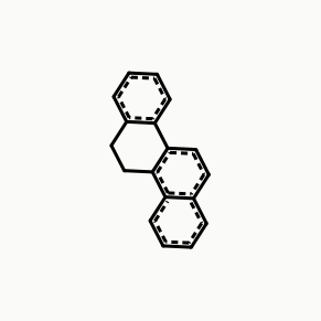 c1ccc2c(c1)CCc1c-2ccc2ccccc12